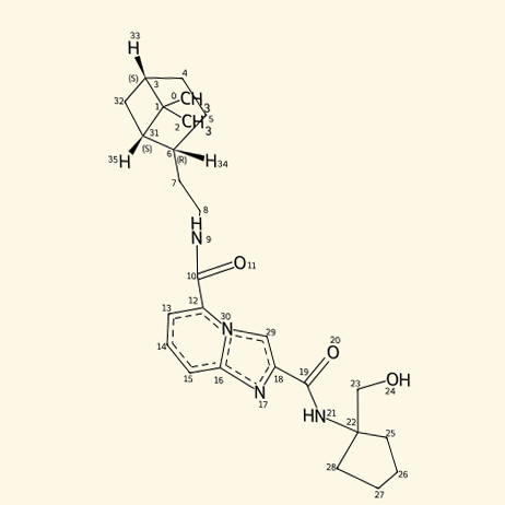 CC1(C)[C@H]2CC[C@H](CCNC(=O)c3cccc4nc(C(=O)NC5(CO)CCCC5)cn34)[C@@H]1C2